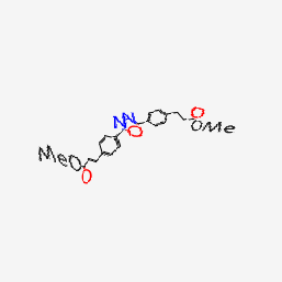 COC(=O)CCc1ccc(-c2nnc(-c3ccc(CCC(=O)OC)cc3)o2)cc1